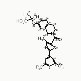 Cc1nc(-c2cc(C(F)(F)F)cc(C(F)(F)F)c2)sc1C(=O)N1CCc2ccc(OC(C)(C)C(=O)O)cc2C1